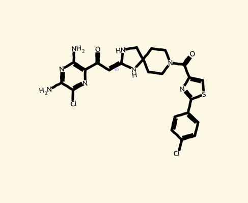 Nc1nc(N)c(C(=O)/C=C2\NCC3(CCN(C(=O)c4csc(-c5ccc(Cl)cc5)n4)CC3)N2)nc1Cl